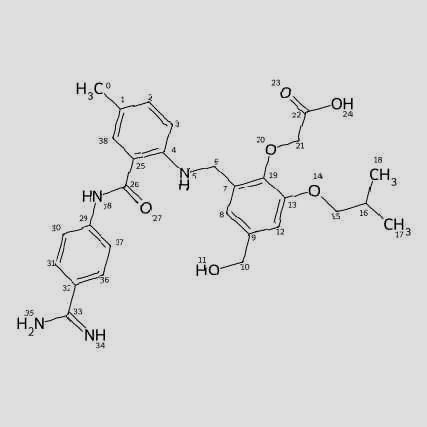 Cc1ccc(NCc2cc(CO)cc(OCC(C)C)c2OCC(=O)O)c(C(=O)Nc2ccc(C(=N)N)cc2)c1